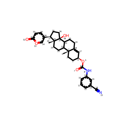 C[C@]12CC[C@H](OC(=O)Nc3cccc(C#N)c3)C=C1CCC1C2CC[C@]2(C)[C@@H](c3ccc(=O)oc3)CC[C@]12O